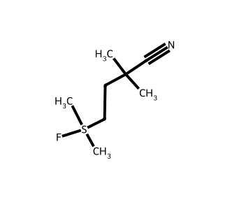 CC(C)(C#N)CCS(C)(C)F